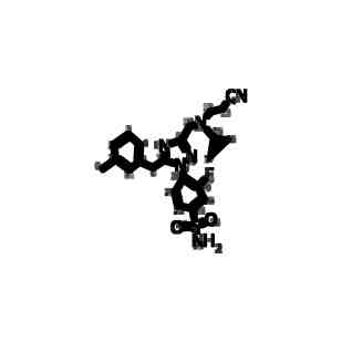 Cc1cccc(Cc2nc(CN(CCC#N)C3CC3)nn2-c2ccc(S(N)(=O)=O)cc2F)c1